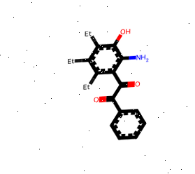 CCc1c(O)c(N)c(C(=O)C(=O)c2ccccc2)c(CC)c1CC